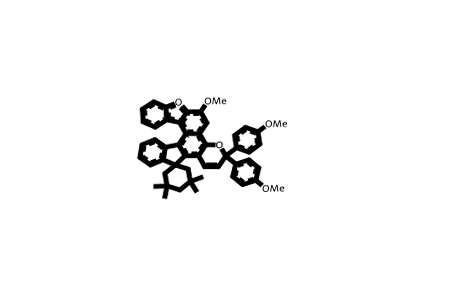 COc1ccc(C2(c3ccc(OC)cc3)C=Cc3c4c(c5c(cc(OC)c6oc7ccccc7c65)c3O2)-c2ccccc2C42CC(C)(C)CC(C)(C)C2)cc1